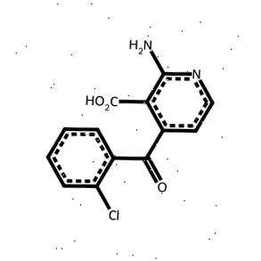 Nc1nccc(C(=O)c2ccccc2Cl)c1C(=O)O